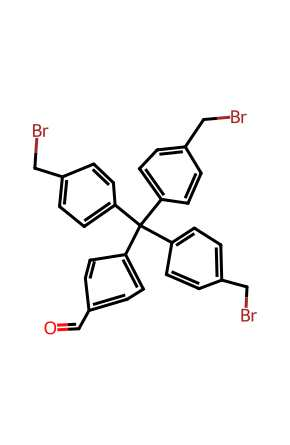 O=Cc1ccc(C(c2ccc(CBr)cc2)(c2ccc(CBr)cc2)c2ccc(CBr)cc2)cc1